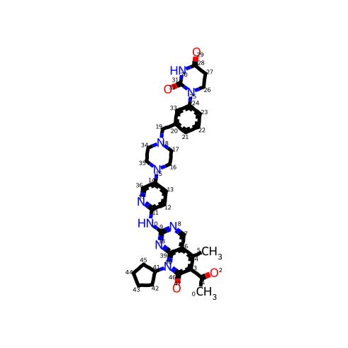 CC(=O)c1c(C)c2cnc(Nc3ccc(N4CCN(Cc5cccc(N6CCC(=O)NC6=O)c5)CC4)cn3)nc2n(C2CCCC2)c1=O